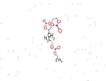 CC1COC(=O)O1.CCOC(=O)OCC.O=C1OCCO1